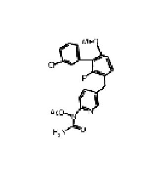 COc1ccc(Cc2ccc(N(OC(C)=O)C(N)=O)nc2)c(F)c1-c1cccc(Cl)c1